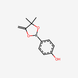 C=C1OB(c2ccc(O)cc2)OC1(C)C